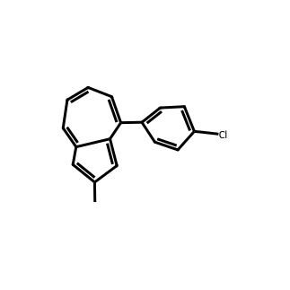 Cc1cc2ccccc(-c3ccc(Cl)cc3)c-2c1